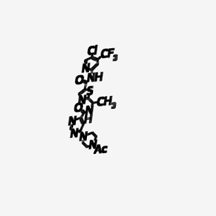 CC(=O)N1CCN(c2cc(C(=O)NC(C)c3ncc(C(=O)Nc4cc(C(F)(F)F)c(Cl)cn4)s3)ncn2)CC1